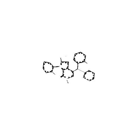 Cc1ccccc1-n1c(C(=O)O)cc2c(C(c3ccccc3)c3ccccc3O)cn(C)c(=O)c21